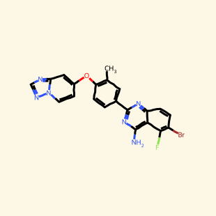 Cc1cc(-c2nc(N)c3c(F)c(Br)ccc3n2)ccc1Oc1ccn2ncnc2c1